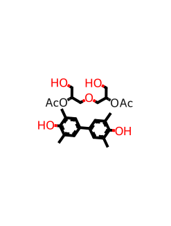 CC(=O)OC(CO)COCC(CO)OC(C)=O.Cc1cc(-c2cc(C)c(O)c(C)c2)cc(C)c1O